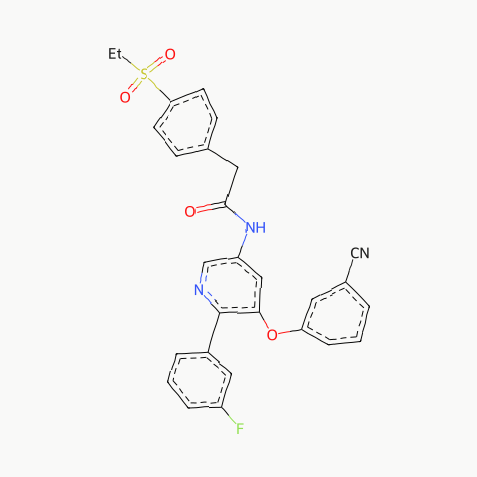 CCS(=O)(=O)c1ccc(CC(=O)Nc2cnc(-c3cccc(F)c3)c(Oc3cccc(C#N)c3)c2)cc1